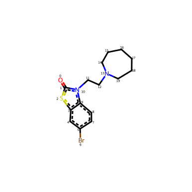 O=c1sc2cc(Br)ccc2n1CCN1CCCCCC1